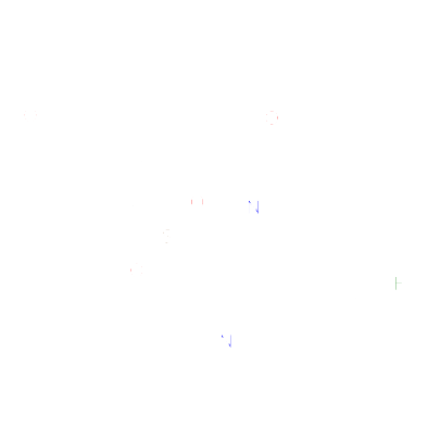 COc1ccc(S(=O)(=O)c2cnc3ccc(F)cc3c2N2CCOCC2)cc1